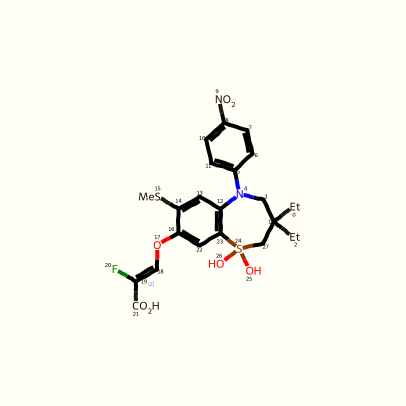 CCC1(CC)CN(c2ccc([N+](=O)[O-])cc2)c2cc(SC)c(O/C=C(\F)C(=O)O)cc2S(O)(O)C1